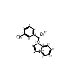 Clc1cccc(Cn2cc[n+]3ccccc23)c1.[Br-]